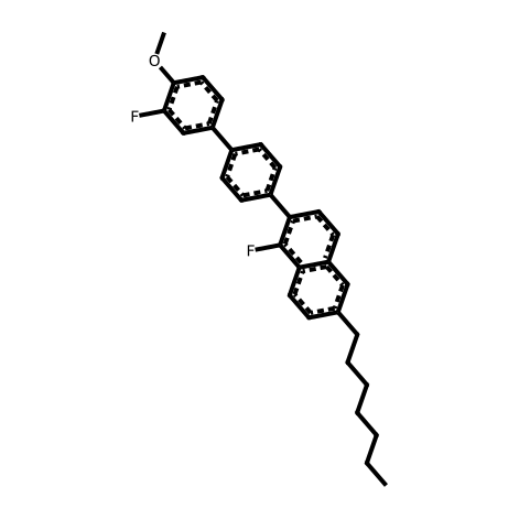 CCCCCCCc1ccc2c(F)c(-c3ccc(-c4ccc(OC)c(F)c4)cc3)ccc2c1